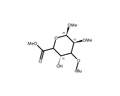 CCCCOC1[C@H](O)C(C(=O)OC)O[C@@H](OC)[C@H]1OC